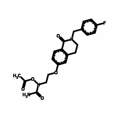 CC(=O)ON(CCOc1ccc2c(c1)CCN(Cc1ccc(F)cc1)C2=O)C(N)=O